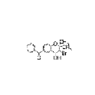 CC1(C)Oc2ccc(C(=O)c3ccccc3)cc2C(O)C1Br